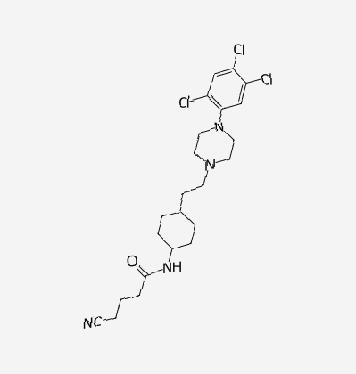 N#CCCCC(=O)NC1CCC(CCN2CCN(c3cc(Cl)c(Cl)cc3Cl)CC2)CC1